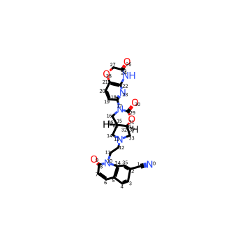 N#Cc1ccc2ccc(=O)n(CCN3C[C@@H]4CN(c5ccc6c(n5)NC(=O)CO6)C(=O)O[C@H]4C3)c2c1